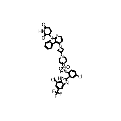 O=C1CCC(n2c3ccccc3c3c(N4CC(N5CCN(S(=O)(=O)Nc6ccc(Cl)cc6-c6nc7cc(C(F)(F)F)cc(Cl)c7[nH]6)CC5)C4)ccnc32)C(=O)N1